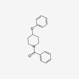 O=C(c1ccccc1)N1CCC(Oc2cc[c]cc2)CC1